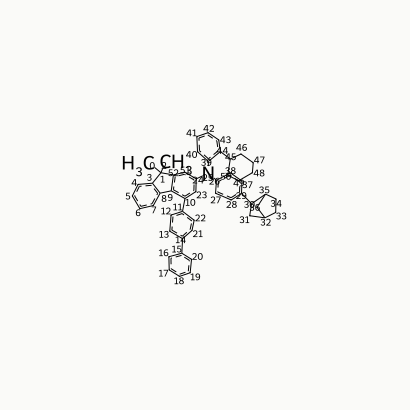 CC1(C)c2ccccc2-c2c(-c3ccc(-c4ccccc4)cc3)cc(N(c3ccc(C4CC5CCC4C5)cc3)c3ccccc3C3CCCCC3)cc21